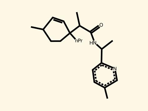 CCCC1(C(C)C(=O)NC(C)c2ccc(C)cn2)C=CC(C)CC1